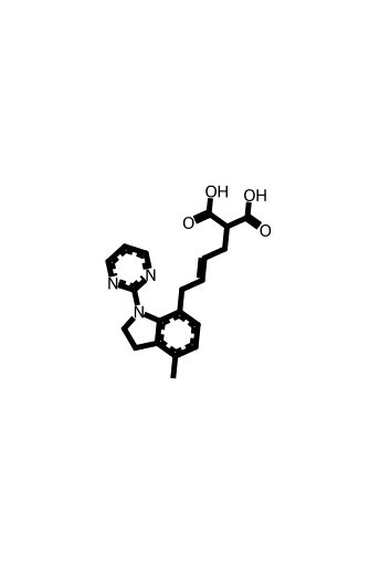 Cc1ccc(C/C=C/CC(C(=O)O)C(=O)O)c2c1CCN2c1ncccn1